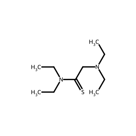 CCN(CC)CC(=S)N(CC)CC